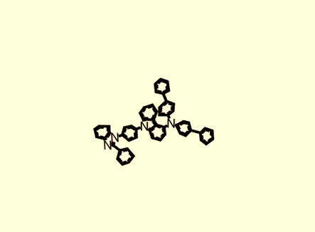 c1ccc(-c2ccc(N(c3ccc(-c4ccccc4)cc3)c3cccc4c3c3ccccc3n4-c3ccc(-n4c(-c5ccccc5)nc5ccccc54)cc3)cc2)cc1